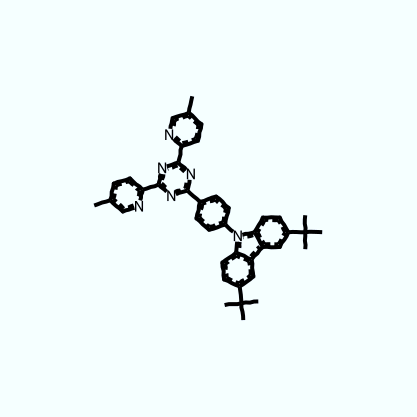 Cc1ccc(-c2nc(-c3ccc(-n4c5ccc(C(C)(C)C)cc5c5cc(C(C)(C)C)ccc54)cc3)nc(-c3ccc(C)cn3)n2)nc1